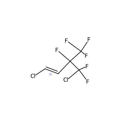 FC(F)(F)C(F)(/C=C/Cl)C(F)(F)Cl